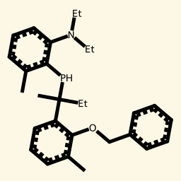 CCN(CC)c1cccc(C)c1PC(C)(CC)c1cccc(C)c1OCc1ccccc1